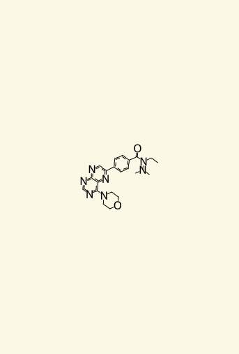 CCN(C(=O)c1ccc(-c2cnc3ncnc(N4CCOCC4)c3n2)cc1)N(C)C